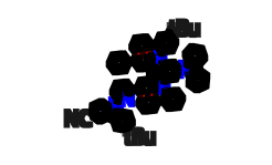 CC(C)(C)c1ccc(N2c3ccc(-c4ccccc4)cc3B3c4cc(-c5cccc(-n6c7ccc(C#N)cc7c7cc(C(C)(C)C)ccc76)n5)ccc4N(c4ccccc4-c4ccccc4)c4cc(-n5c6ccccc6c6ccccc65)cc2c43)c(-c2ccccc2)c1